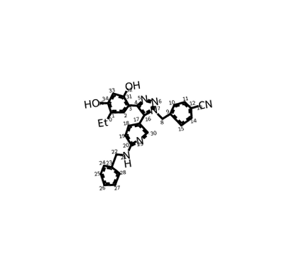 CCc1cc(-c2nnn(Cc3ccc(C#N)cc3)c2-c2ccc(NCc3ccccc3)nc2)c(O)cc1O